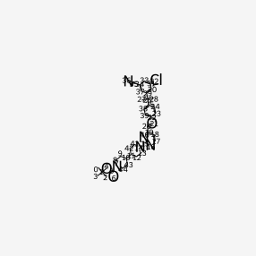 CC(C)(C)OC(=O)N1CCC(C2CCN(c3nccc(COc4ccc(C(C)(C)c5cc(Cl)cc(C#N)c5)cc4)n3)CC2)CC1